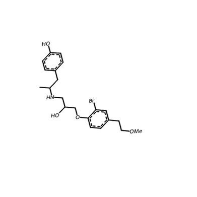 COCCc1ccc(OCC(O)CNC(C)Cc2ccc(O)cc2)c(Br)c1